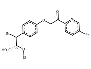 CCO[C@H](C(=O)O)C(CC)c1ccc(OCC(=O)c2ccc(CC)cn2)cc1